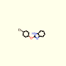 [CH2]Cc1ccc(Oc2nc3ccccc3[nH]2)cc1